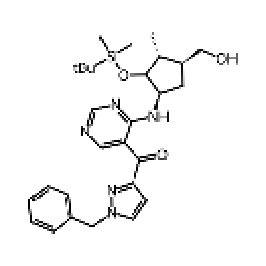 C[C@H]1C(O[Si](C)(C)C(C)(C)C)[C@H](Nc2ncncc2C(=O)c2ccn(Cc3ccccc3)n2)C[C@@H]1CO